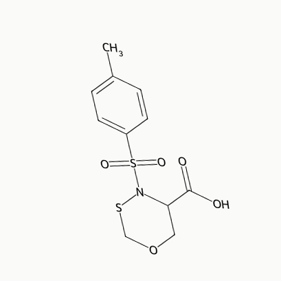 Cc1ccc(S(=O)(=O)N2SCOCC2C(=O)O)cc1